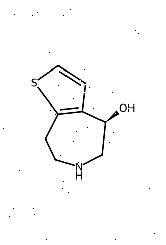 O[C@H]1CNCCc2sccc21